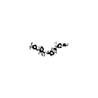 O=C(NCc1ccc2ncc(NC3CCN(C4COC4)CC3)nc2c1)c1ccnn(Cc2ccc(F)c(F)c2)c1=O